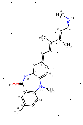 C=C1C(C/C(C)=C/C=C(C)/C(C)=C/C=N\C)NC(=O)c2cc(C)ccc2N1C